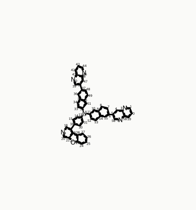 c1cnc2cc(-c3ccc4cc(N(c5ccc(-c6cncc7oc8ccccc8c67)cc5)c5ccc6cc(-c7cnc8cccnc8c7)ccc6c5)ccc4c3)cnc2c1